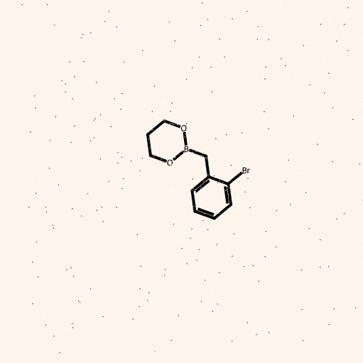 Brc1ccccc1CB1OCCCO1